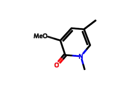 COc1cc(C)cn(C)c1=O